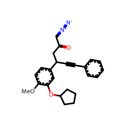 COc1ccc(C(C#Cc2ccccc2)CC(=O)C=[N+]=[N-])cc1OC1CCCC1